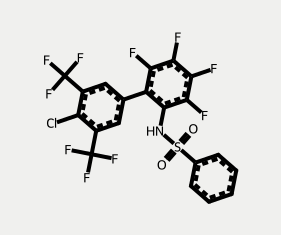 O=S(=O)(Nc1c(F)c(F)c(F)c(F)c1-c1cc(C(F)(F)F)c(Cl)c(C(F)(F)F)c1)c1ccccc1